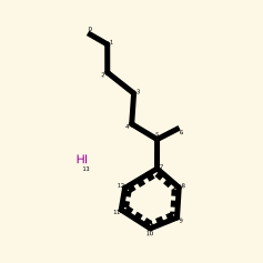 CCCCCC(C)c1ccccc1.I